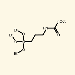 CCCCC[CH]CCC(=O)NCCC[Si](OCC)(OCC)OCC